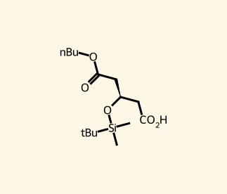 CCCCOC(=O)C[C@@H](CC(=O)O)O[Si](C)(C)C(C)(C)C